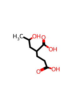 CC(O)CC(CCC(=O)O)C(=O)O